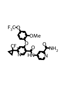 COc1cc(OC(F)(F)F)ccc1Oc1cc(C2(C(F)(F)F)CC2)ncc1C(=O)Nc1ccnc(C(N)=O)c1